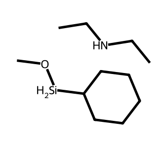 CCNCC.CO[SiH2]C1CCCCC1